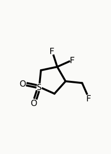 O=S1(=O)CC(CF)C(F)(F)C1